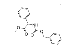 COC(=O)C(NC(=O)OCc1ccccc1)c1ccccc1